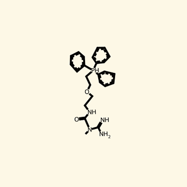 CN(C(=N)N)C(=O)NCCOCC[PH](c1ccccc1)(c1ccccc1)c1ccccc1